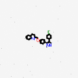 Cn1ncc(-c2ccc(F)cc2)c1-c1ccc(OCc2ccc3ccccc3n2)cc1